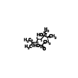 C=CC(C)(O)CCC=C(C)C.CC(=O)O